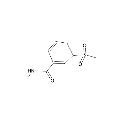 CS(=O)(=O)C1C=C(C(=O)NI)C=CC1